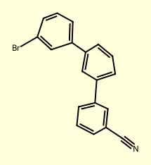 N#Cc1cccc(-c2cccc(-c3cccc(Br)c3)c2)c1